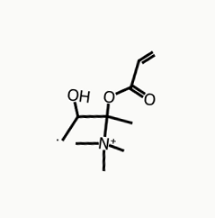 [CH2]C(O)C(C)(OC(=O)C=C)[N+](C)(C)C